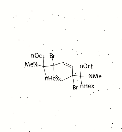 CCCCCCCCC(CCCCCC)(NC)C1(Br)C=CC(Br)(C(CCCCCC)(CCCCCCCC)NC)C=C1